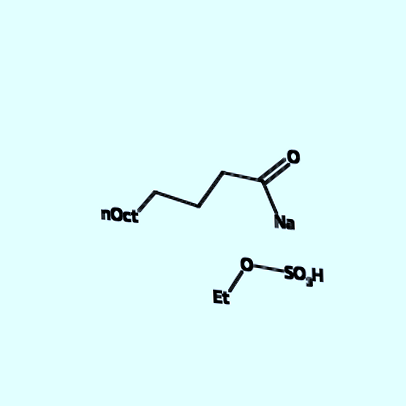 CCCCCCCCCCC[C](=O)[Na].CCOS(=O)(=O)O